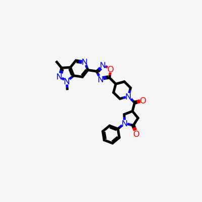 Cc1nn(C)c2cc(-c3noc(C4CCN(C(=O)C5CC(=O)N(c6ccccc6)C5)CC4)n3)ncc12